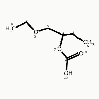 CCOCC(CC)OC(=O)O